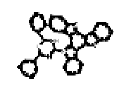 c1ccc(C2=NC(c3ccccc3)NC(n3c4ccccc4c4c5sc6ccccc6c5c5sc6ccccc6c5c43)=N2)cc1